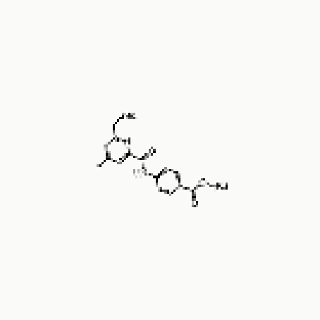 Cc1cc(CC(C)(C)C)nc(C(=O)Nc2ccc(C(=O)OC(C)(C)C)cc2)c1